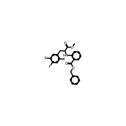 COC(=O)C(Cc1cc(F)c(F)cc1F)Nc1ccccc1C(=O)OCc1ccccc1